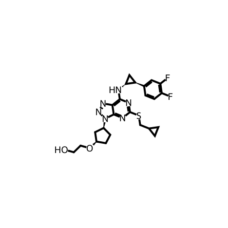 OCCO[C@@H]1CC[C@H](n2nnc3c(N[C@@H]4C[C@H]4c4ccc(F)c(F)c4)nc(SCC4CC4)nc32)C1